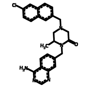 CC1CN(Cc2ccc3cc(Cl)ccc3c2)CC(=O)N1Cc1ccc2c(N)ncnc2c1